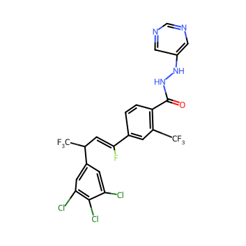 O=C(NNc1cncnc1)c1ccc(C(F)=CC(c2cc(Cl)c(Cl)c(Cl)c2)C(F)(F)F)cc1C(F)(F)F